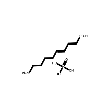 CCCCCCCCCCCCCC=CC=CC(=O)O.O=P(O)(O)O